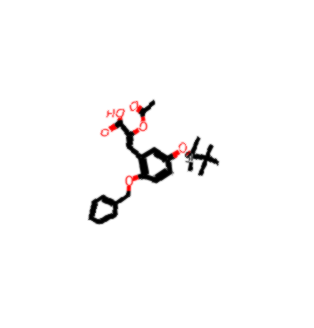 CC(=O)OC(=Cc1cc(O[Si](C)(C)C(C)(C)C)ccc1OCc1ccccc1)C(=O)O